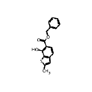 Cc1cc2ccc(C(=O)OCc3ccccc3)c(O)c2s1